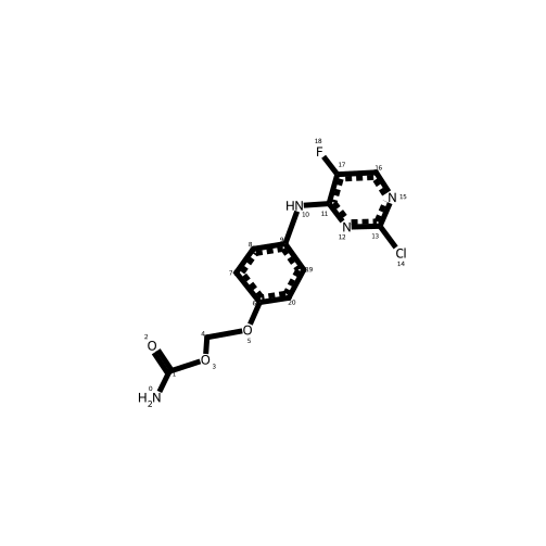 NC(=O)OCOc1ccc(Nc2nc(Cl)ncc2F)cc1